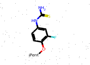 CCCC(C)Oc1ccc(NC(N)=S)cc1F